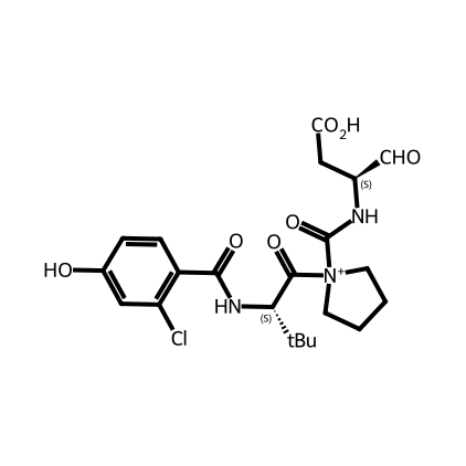 CC(C)(C)[C@H](NC(=O)c1ccc(O)cc1Cl)C(=O)[N+]1(C(=O)N[C@H](C=O)CC(=O)O)CCCC1